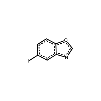 Ic1ccc2ocnc2c1